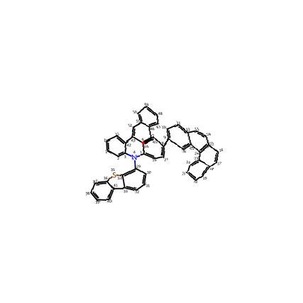 c1ccc(N(c2ccc(-c3ccc4ccc5ccc6ccccc6c5c4c3)cc2)c2cccc3c2sc2ccccc23)c(-c2ccc3ccccc3c2)c1